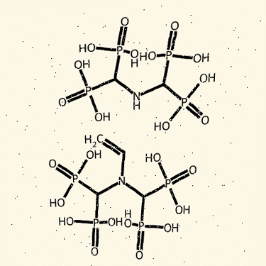 C=CN(C(P(=O)(O)O)P(=O)(O)O)C(P(=O)(O)O)P(=O)(O)O.O=P(O)(O)C(NC(P(=O)(O)O)P(=O)(O)O)P(=O)(O)O